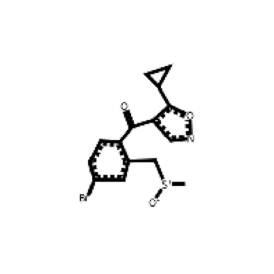 C[S+]([O-])Cc1cc(Br)ccc1C(=O)c1cnoc1C1CC1